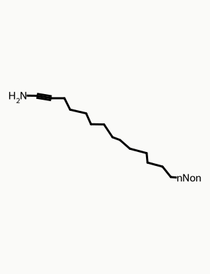 CCCCCCCCCCCCCCCCCCCCCC#CN